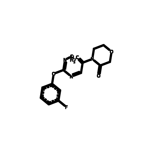 C=C(/C=N\C(=N/C)Oc1cccc(F)c1)N1CCOCC1=O